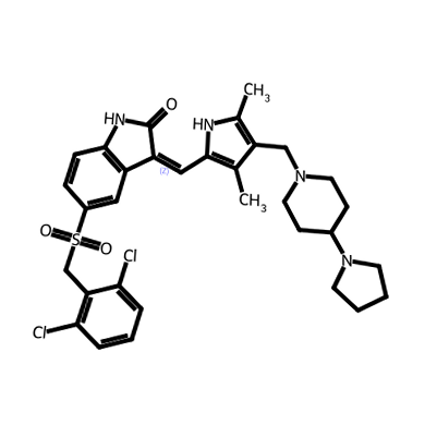 Cc1[nH]c(/C=C2\C(=O)Nc3ccc(S(=O)(=O)Cc4c(Cl)cccc4Cl)cc32)c(C)c1CN1CCC(N2CCCC2)CC1